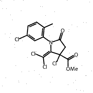 COC(=O)C1(Cl)CC(=O)N(c2cc(Cl)ccc2C)C1=C(Cl)Cl